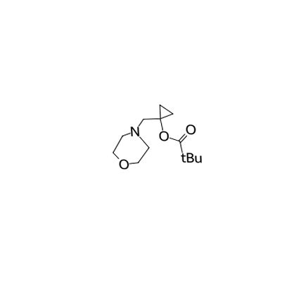 CC(C)(C)C(=O)OC1(CN2CCOCC2)CC1